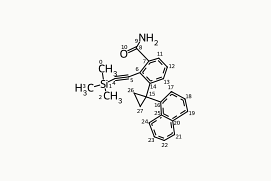 C[Si](C)(C)C#Cc1c(C(N)=O)cccc1C1(c2cccc3ccccc23)CC1